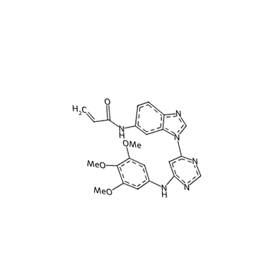 C=CC(=O)Nc1ccc2ncn(-c3cc(Nc4cc(OC)c(OC)c(OC)c4)ncn3)c2c1